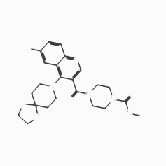 CCNC(=O)N1CCN(C(=O)c2cnc3ccc(F)cc3c2N2CCC3(CC2)OCCO3)CC1